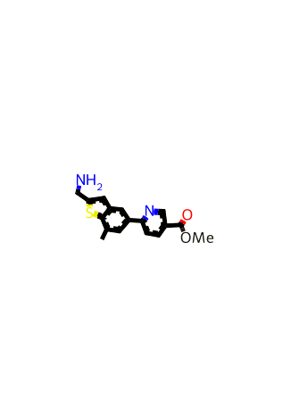 COC(=O)c1ccc(-c2cc(C)c3sc(CN)cc3c2)nc1